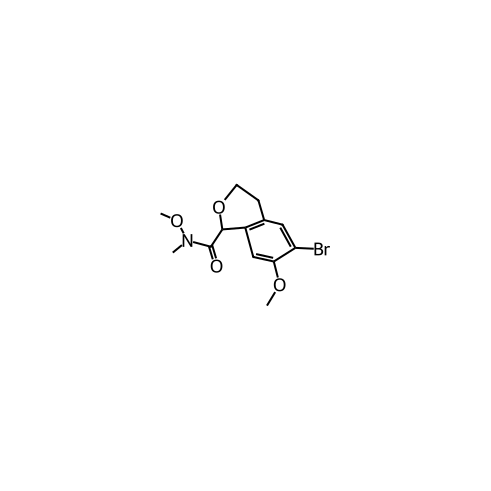 COc1cc2c(cc1Br)CCOC2C(=O)N(C)OC